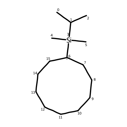 CC(C)[Si](C)(C)[C]1CCCCCCCCC1